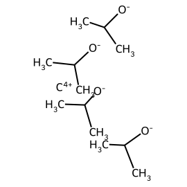 CC(C)[O-].CC(C)[O-].CC(C)[O-].CC(C)[O-].[C+4]